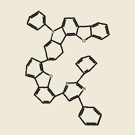 C1=C(c2cccc3c2oc2c(-c4cc(-c5ccccc5)nc(-c5ccccc5)n4)cccc23)C=C2C(C1)c1c(ccc3c1oc1ccccc13)N2c1ccccc1